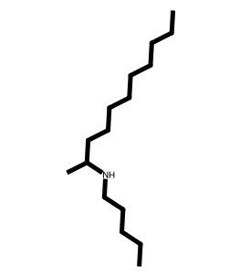 CCCCCCCCCC(C)NCCCCC